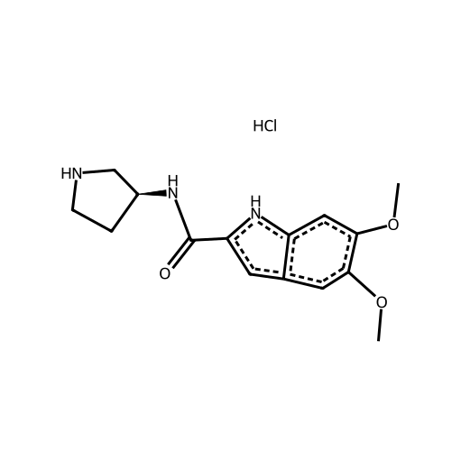 COc1cc2cc(C(=O)N[C@H]3CCNC3)[nH]c2cc1OC.Cl